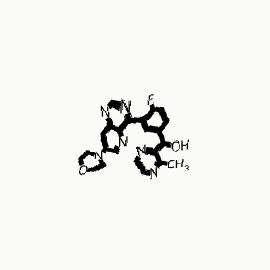 Cc1nccnc1C(O)c1ccc(F)c(-c2ncnc3cc(N4CCOCC4)cnc23)c1